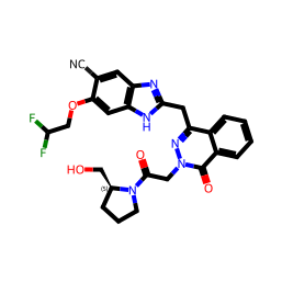 N#Cc1cc2nc(Cc3nn(CC(=O)N4CCC[C@H]4CO)c(=O)c4ccccc34)[nH]c2cc1OCC(F)F